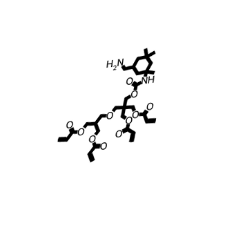 C=CC(=O)OCC(COCC(COC(=O)C=C)(COC(=O)C=C)COC(=O)NC1(C)CC(CN)CC(C)(C)C1)COC(=O)C=C